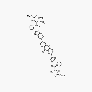 CC[C@H](C)[C@H](NC(=O)OC)C(=O)N1CCC[C@H]1c1ncc(-c2ccc3oc4cc(-c5ccc6nc([C@@H]7CCCN7C(=O)[C@@H](NC(=O)OC)[C@@H](C)OC)[nH]c6c5)ccc4c(=O)c3c2)[nH]1